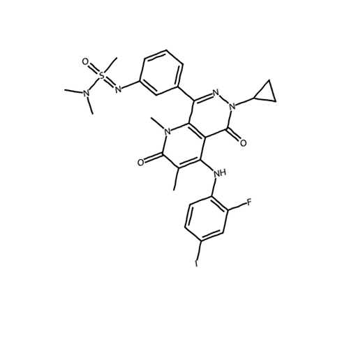 Cc1c(Nc2ccc(I)cc2F)c2c(=O)n(C3CC3)nc(-c3cccc(N=S(C)(=O)N(C)C)c3)c2n(C)c1=O